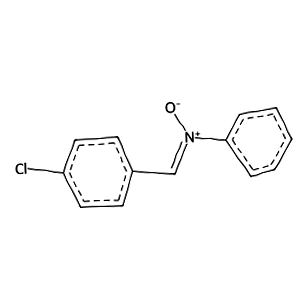 [O-]/[N+](=C\c1ccc(Cl)cc1)c1ccccc1